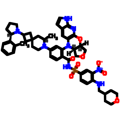 Cc1ccccc1[C@@H]1CCCN1C1CC2(CCN(c3ccc(C(=O)NS(=O)(=O)c4ccc(NCC5CCOCC5)c([N+](=O)[O-])c4)c(N4c5cc6cc[nH]c6nc5O[C@@H]5COC[C@H]54)c3)[C@H](C)C2)C1